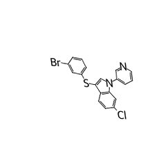 Clc1ccc2c(Sc3cccc(Br)c3)cn(-c3cccnc3)c2c1